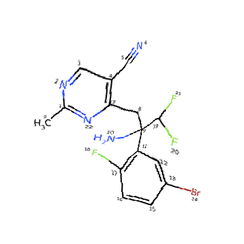 Cc1ncc(C#N)c(CC(N)(c2cc(Br)ccc2F)C(F)F)n1